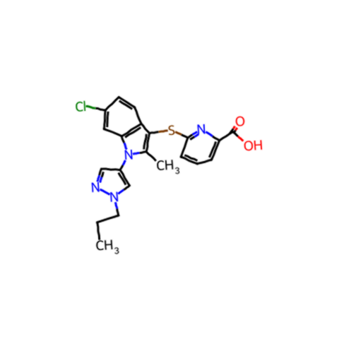 CCCn1cc(-n2c(C)c(Sc3cccc(C(=O)O)n3)c3ccc(Cl)cc32)cn1